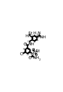 CCNc1cc(C(=N)N)ccc1CNC(=O)c1cc(Cl)cc(N(C(N)=O)S(=O)(=O)CC)c1